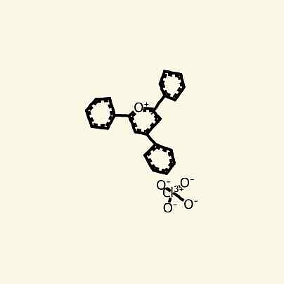 [O-][Cl+3]([O-])([O-])[O-].c1ccc(-c2cc(-c3ccccc3)[o+]c(-c3ccccc3)c2)cc1